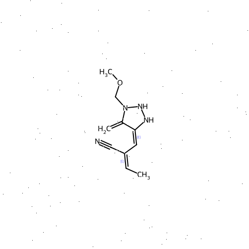 C=C1/C(=C\C(C#N)=C/C)NNN1COC